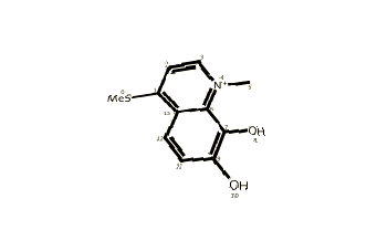 CSc1cc[n+](C)c2c(O)c(O)ccc12